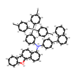 Cc1ccc([Si](c2ccc(C)cc2)(c2ccc(C)cc2)c2cccc(N(c3ccc(-c4cccc5ccccc45)cc3)c3cccc4c3ccc3c5ccccc5oc43)c2)cc1